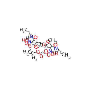 C=CCOC(=O)CCOC(=O)N1c2cc(OCCCOc3cc4c(cc3C)C(=O)N3C=C(/C=C/C)C[C@H]3[C@H](O)N4C(=O)OCC=C)c(OC)cc2C(=O)N2C=C(/C=C/C)C[C@H]2[C@@H]1O